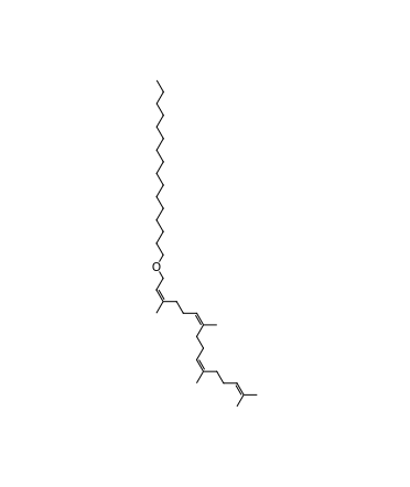 CCCCCCCCCCCCCCCCOCC=C(C)CCC=C(C)CCC=C(C)CCC=C(C)C